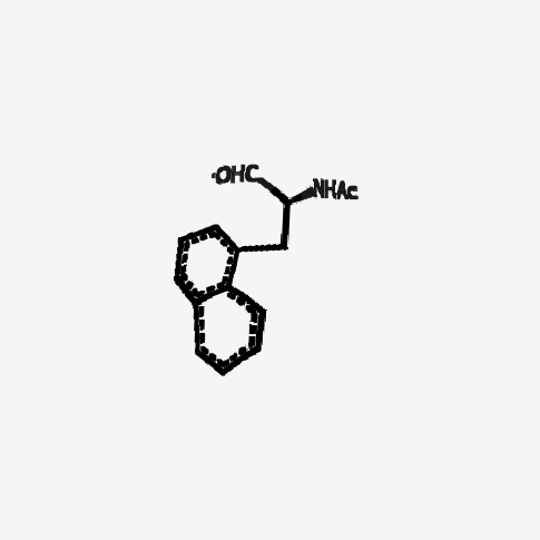 CC(=O)N[C@H]([C]=O)Cc1cccc2ccccc12